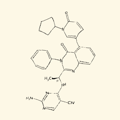 C[C@H](Nc1nc(N)ncc1C#N)c1nc2cccc(-c3ccc(=O)n(C4CCCC4)c3)c2c(=O)n1-c1ccccc1